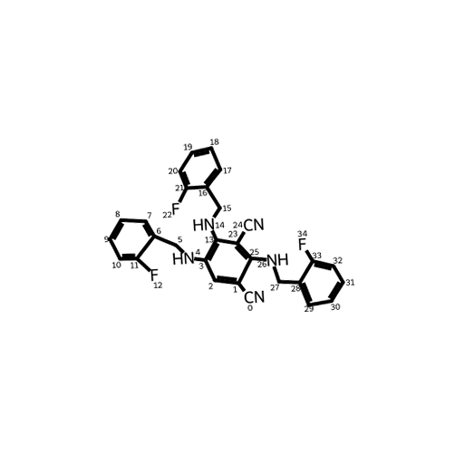 N#Cc1cc(NCc2ccccc2F)c(NCc2ccccc2F)c(C#N)c1NCc1ccccc1F